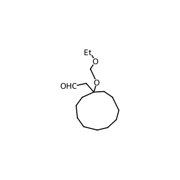 CCOCOC1(CC=O)CCCCCCCCCC1